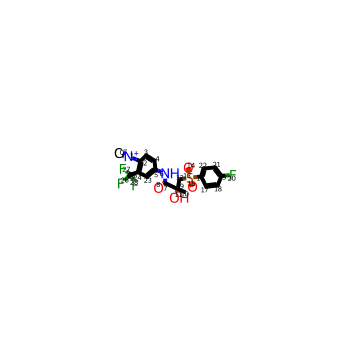 [C-]#[N+]c1ccc(NC(=O)C(C)(O)CS(=O)(=O)c2ccc(F)cc2)cc1C(F)(F)F